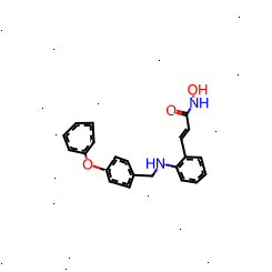 O=C(C=Cc1ccccc1NCc1ccc(Oc2ccccc2)cc1)NO